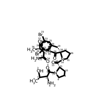 C[C@@H](O)[C@H](N)C(=O)N1CCC[C@H]1C(=O)N1CCC[C@]1(Cc1cc(Br)cc(Br)c1)C(=O)N[C@H](C(N)=O)[C@@H](C)O